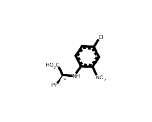 CC(C)[C@H](Nc1ccc(Cl)cc1[N+](=O)[O-])C(=O)O